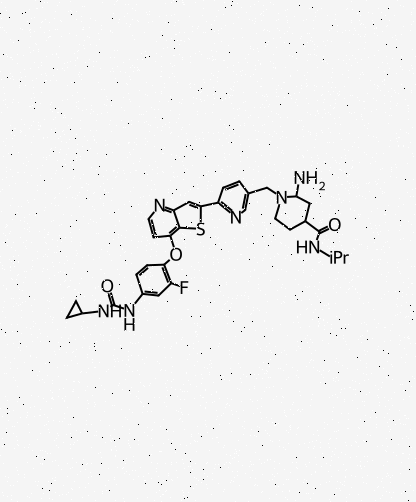 CC(C)NC(=O)C1CCN(Cc2ccc(-c3cc4nccc(Oc5ccc(NC(=O)NC6CC6)cc5F)c4s3)nc2)C(N)C1